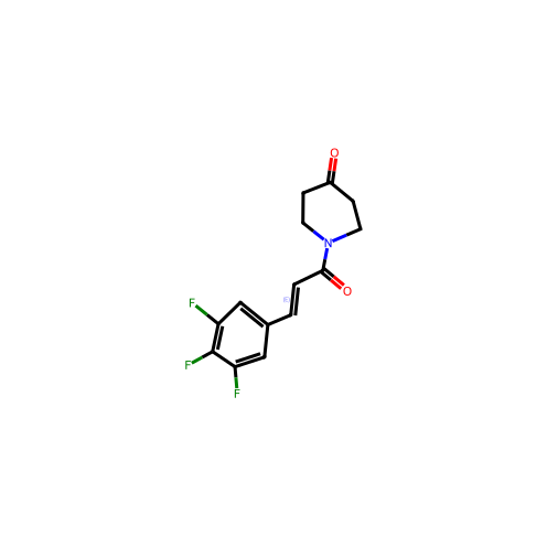 O=C1CCN(C(=O)/C=C/c2cc(F)c(F)c(F)c2)CC1